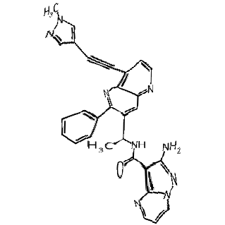 C[C@H](NC(=O)c1c(N)nn2cccnc12)c1cc2nccc(C#Cc3cnn(C)c3)c2nc1-c1ccccc1